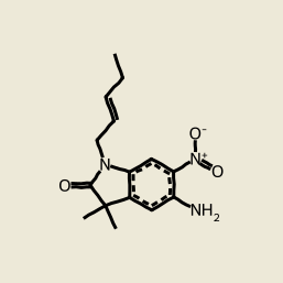 CCC=CCN1C(=O)C(C)(C)c2cc(N)c([N+](=O)[O-])cc21